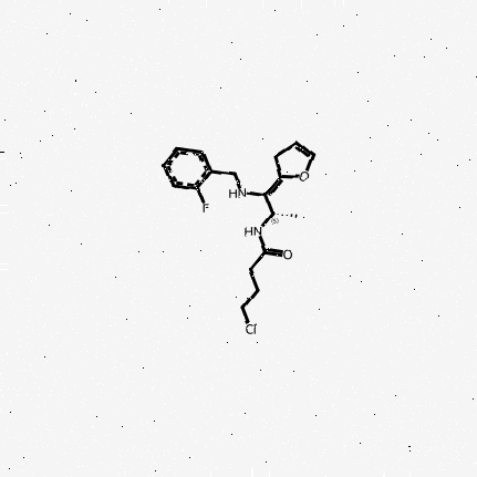 C[C@H](NC(=O)CCCCl)C(NCc1ccccc1F)=C1CC=CO1